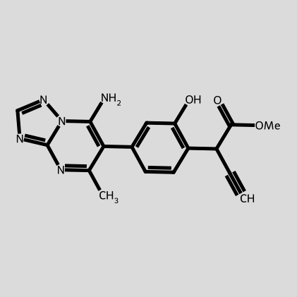 C#CC(C(=O)OC)c1ccc(-c2c(C)nc3ncnn3c2N)cc1O